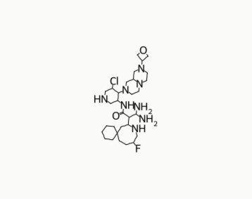 NC(N)C(C(=O)NC1CNCC(Cl)C1N1CCN2CCN(C3COC3)CC2C1)C1CC2(CCCCC2)CCC(F)CN1